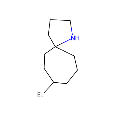 CCC1CCCC2(CCCN2)CC1